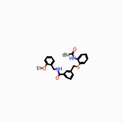 CCOc1ccccc1CNC(=O)c1cccc(CSc2ccccc2NC(=O)C(C)(C)C)c1